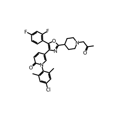 CC(=O)CN1CCC(c2nc(-c3ccc(=O)n(-c4c(C)cc(Cl)cc4C)c3)c(-c3ccc(F)cc3F)o2)CC1